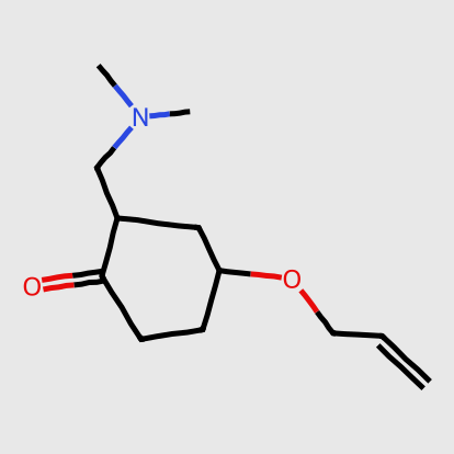 C=CCOC1CCC(=O)C(CN(C)C)C1